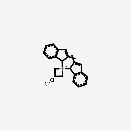 CC1=Cc2ccccc2[CH]1[Hf+2]1([CH]2C(C)=Cc3ccccc32)[CH2]C[CH2]1.[Cl-].[Cl-]